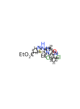 CCOC(=O)c1ccc2nc(NC(CC)CC(CC)NCc3c(C4=C(Cl)CCC=C4Cl)noc3C3CC3)sc2c1